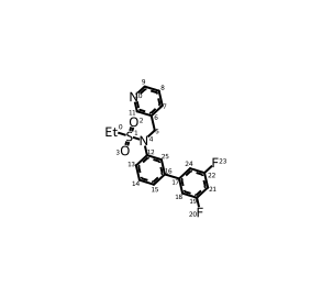 CCS(=O)(=O)N(Cc1cccnc1)c1cccc(-c2cc(F)cc(F)c2)c1